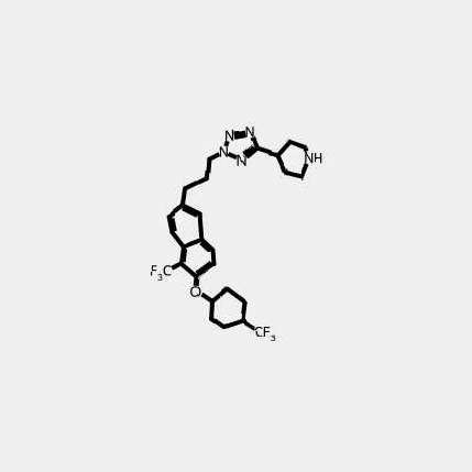 FC(F)(F)c1c(OC2CCC(C(F)(F)F)CC2)ccc2cc(CCCn3nnc(C4CCNCC4)n3)ccc12